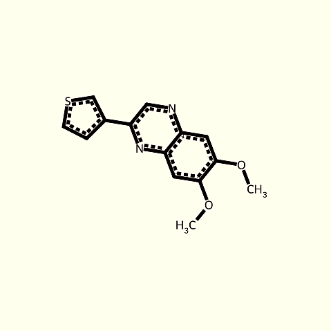 COc1cc2ncc(-c3ccsc3)nc2cc1OC